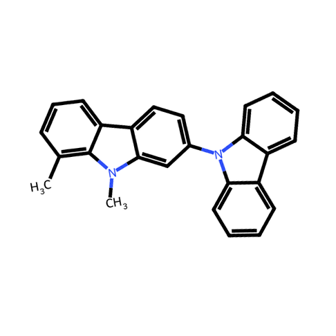 Cc1cccc2c3ccc(-n4c5ccccc5c5ccccc54)cc3n(C)c12